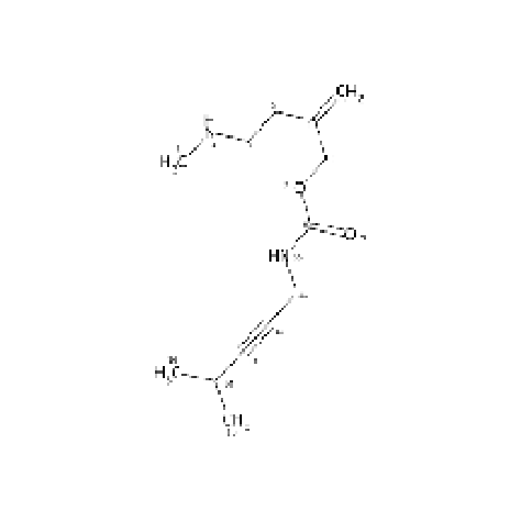 C=C(CCNC)COC(=O)NCC#CC(C)C